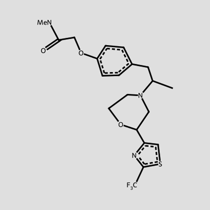 CNC(=O)COc1ccc(CC(C)N2CCOC(c3csc(C(F)(F)F)n3)C2)cc1